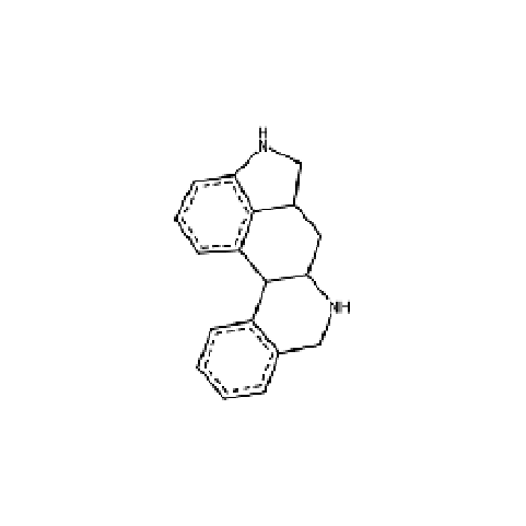 c1ccc2c(c1)CNC1CC3CNc4cccc(c43)C21